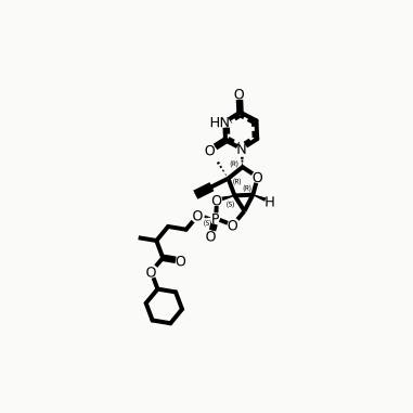 C#C[C@@]1(C)[C@H](n2ccc(=O)[nH]c2=O)O[C@@H]2C3O[P@](=O)(OCCC(C)C(=O)OC4CCCCC4)O[C@]321